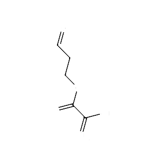 C=C(C)C(=O)OCCC=O